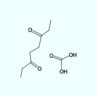 CCC(=O)CCC(=O)CC.O=C(O)O